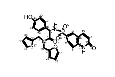 O=C([C@H](NS(=O)(=O)c1ccc2[nH]c(=O)ccc2c1)c1ccc(O)cc1)N(Cc1ccco1)Cc1cccs1